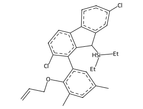 C=CCOc1c(C)cc(C)cc1-c1c(Cl)ccc2c1C([SiH](CC)CC)c1cc(Cl)ccc1-2